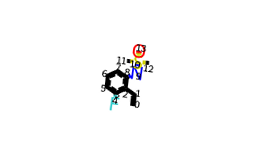 C=Cc1c(F)cccc1N=S(C)(C)=O